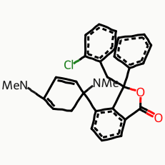 CNC1=CCC(NC)(c2cccc3c2C(Cc2ccccc2Cl)(c2ccccc2)OC3=O)C=C1